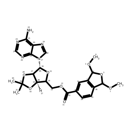 COC1OC(OC)c2cc(C(=O)OCC3O[C@@H](n4cnc5c(N)ncnc54)C4OC(C)(C)O[C@H]34)ccc21